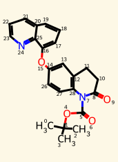 CC(C)(C)OC(=O)N1C(=O)CCc2cc(Oc3cccc4cccnc34)ccc21